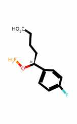 O=C(O)CCC[C@H](OP)c1ccc(F)cc1